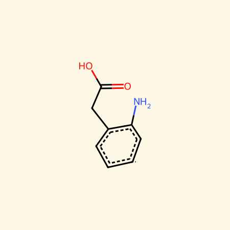 Nc1c[c]ccc1CC(=O)O